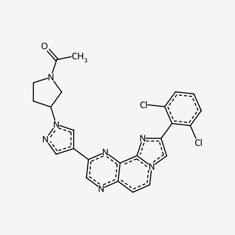 CC(=O)N1CCC(n2cc(-c3cnc4ccn5cc(-c6c(Cl)cccc6Cl)nc5c4n3)cn2)C1